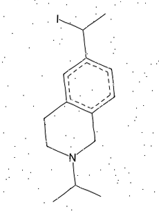 CC(I)c1ccc2c(c1)CCN(C(C)C)C2